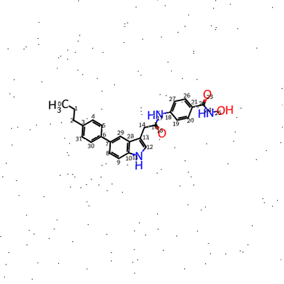 CCCc1ccc(-c2ccc3[nH]cc(CC(=O)Nc4ccc(C(=O)NO)cc4)c3c2)cc1